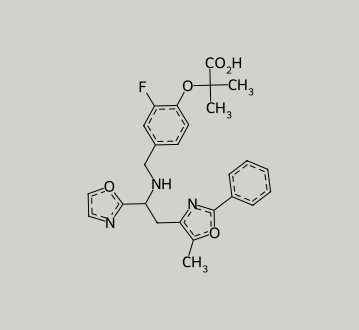 Cc1oc(-c2ccccc2)nc1CC(NCc1ccc(OC(C)(C)C(=O)O)c(F)c1)c1ncco1